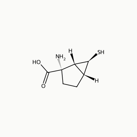 N[C@@]1(C(=O)O)CC[C@H]2[C@H](S)[C@H]21